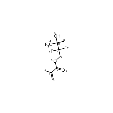 C=C(C)C(=O)OCC(F)(F)C(C)(O)C(F)(F)F